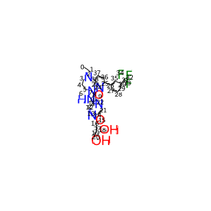 CCN1CC[C@@H](C)N(C(=O)Nc2cnc(OC[C@H](O)CO)cn2)c2nc(-c3cccc(C(F)(F)F)c3)ccc21